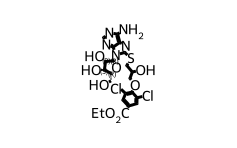 CCOC(=O)c1cc(Cl)c(OCC(O)CSc2nc3c(N)ncnc3n2[C@@H]2O[C@H](CO)[C@@H](O)[C@H]2O)c(Cl)c1